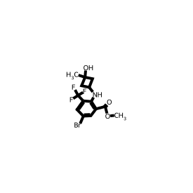 COC(=O)c1cc(Br)cc(C(F)(F)F)c1NC1CC(C)(O)C1